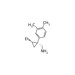 CC[C@@H]1C[C@]1(CN)c1ccc(C)c(C)c1